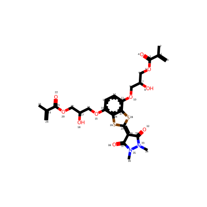 C=C(C)C(=O)OCC(O)COc1ccc(OCC(O)COC(=O)C(=C)C)c2c1SC(=C1C(=O)N(C)N(C)C1=O)S2